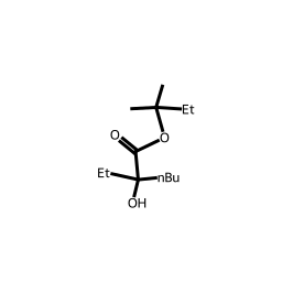 CCCCC(O)(CC)C(=O)OC(C)(C)CC